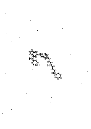 c1cc2c(NC3CCNCC3)nc(NCc3nnn(CCCNCCCNC4CCCCC4)n3)nc2s1